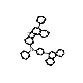 c1ccc(-c2cc3oc4ccc(N(c5ccccc5)c5ccc(-c6cc7ccccc7c7ccccc67)cc5)cc4c3c3ccccc23)cc1